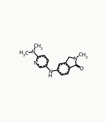 CN1Cc2cc(Nc3ccc(N(C)C)nc3)ccc2C1=O